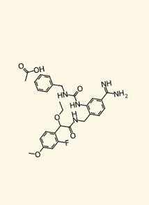 CC(=O)O.CCOC(C(=O)NCc1ccc(C(=N)N)cc1NC(=O)NCc1ccccc1)c1ccc(OC)cc1F